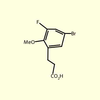 COc1c(F)cc(Br)cc1CCC(=O)O